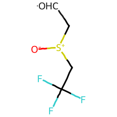 O=[C]C[S+]([O-])CC(F)(F)F